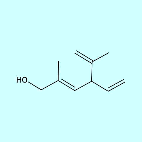 C=CC(/C=C(\C)CO)C(=C)C